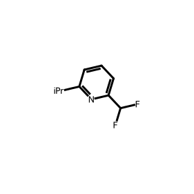 CC(C)c1cccc(C(F)F)n1